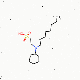 CCCCCCCCN(CCS(=O)(=O)O)C1CCCCC1